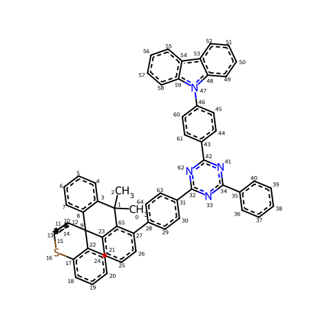 CC1(C)c2ccccc2C2(c3ccccc3Sc3ccccc32)c2cccc(-c3ccc(-c4nc(-c5ccccc5)nc(-c5ccc(-n6c7ccccc7c7ccccc76)cc5)n4)cc3)c21